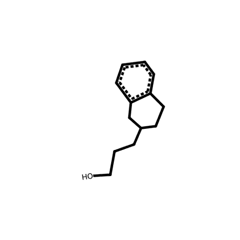 OCCCC1CCc2ccccc2C1